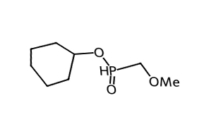 COC[PH](=O)OC1CCCCC1